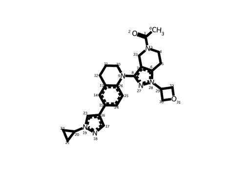 CC(=O)N1CCc2c(c(N3CCCc4cc(-c5cnn(C6CC6)c5)ccc43)nn2C2COC2)C1